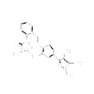 COc1c(C#N)c(-c2ccc(OCc3ccccc3-n3nnn(C)c3=O)c(C)c2)nn1C